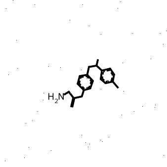 C=C(CN)Cc1ccc(CC(C)c2ccc(C)cc2)cc1